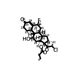 CCC(=O)O[C@@]1(C(=O)CCl)[C@@H](C)C[C@H]2[C@@H]3C[C@H](F)C4=CC(=O)CC[C@]4(C)[C@H]3[C@@H](O)C[C@@]21C